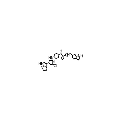 O=C(NC1CCC(Nc2cc(-c3c[nH]c4ncccc34)cc(Cl)n2)CC1)C1CN(Cc2ccc3cc[nH]c3c2)C1